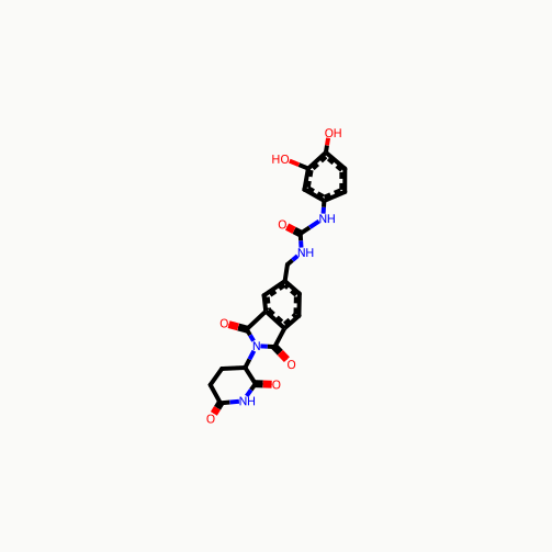 O=C1CCC(N2C(=O)c3ccc(CNC(=O)Nc4ccc(O)c(O)c4)cc3C2=O)C(=O)N1